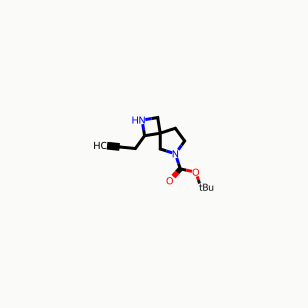 C#CCC1NCC12CCN(C(=O)OC(C)(C)C)C2